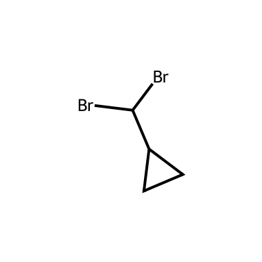 BrC(Br)C1CC1